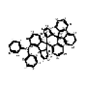 C1=CC2c3c(N(c4ccccc4)c4ccccc4)cccc3C3(c4ccccc4C(C4=CCCC=C4)(c4ccccc4)c4ccccc43)C2C=C1